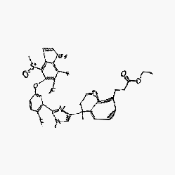 CCOC(=O)CCc1cccc2c1OCCC2(C)c1cn(C)c(-c2cc(Oc3c(F)c(F)c4[nH]ccc4c3[S+](C)[O-])ccc2F)n1